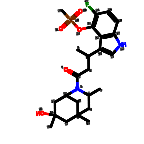 CC(CC(=O)N1C(C)CC2(C)CC1CC(C)(O)C2)c1c[nH]c2ccc(F)c(OS(C)(=O)=O)c12